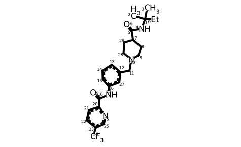 CCC(C)(C)NC(=O)C1CCN(Cc2cccc(NC(=O)c3ccc(C(F)(F)F)cn3)c2)CC1